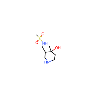 CC1(O)CCNCC1CNS(C)(=O)=O